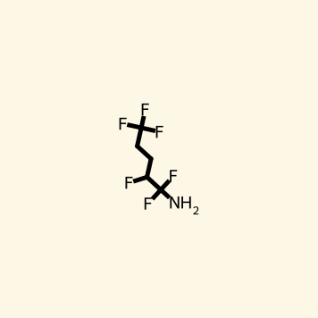 NC(F)(F)C(F)CCC(F)(F)F